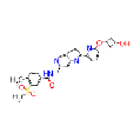 Cc1ccc(C(=O)NCc2cc3nc(-c4cccc(O[C@H]5C[C@H](O)C5)n4)ccc3cn2)cc1S(C)(=O)=O